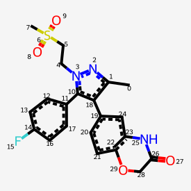 Cc1nn(CCS(C)(=O)=O)c(-c2ccc(F)cc2)c1-c1ccc2c(c1)NC(=O)CO2